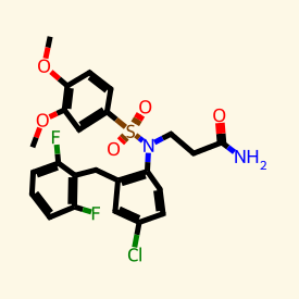 COc1ccc(S(=O)(=O)N(CCC(N)=O)c2ccc(Cl)cc2Cc2c(F)cccc2F)cc1OC